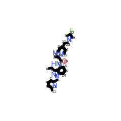 CCc1nn(Cc2cccc(C)n2)c2cccc(NC(=O)c3cnc4cc(CCN5CC(F)C5)ccn34)c12